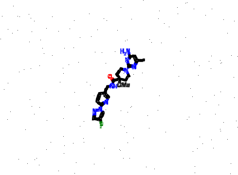 COC1(C(=O)NCc2ccc(-n3cc(F)cn3)nc2)CCN(c2nc(C)cc(N)n2)CC1